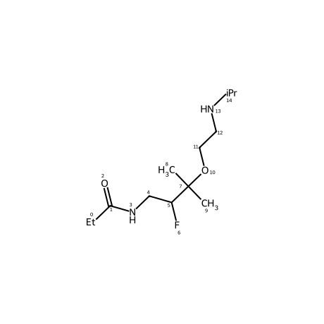 CCC(=O)NCC(F)C(C)(C)OCCNC(C)C